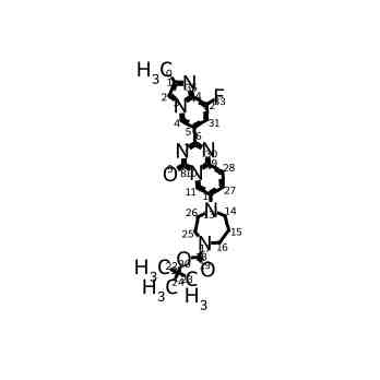 Cc1cn2cc(-c3nc(=O)n4cc(N5CCCN(C(=O)OC(C)(C)C)CC5)ccc4n3)cc(F)c2n1